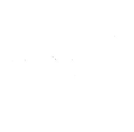 CCCCC(=O)Nc1ccccc1C(C)=O